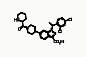 CCOC(=O)c1nn(C(C)c2ccc(Cl)cc2Cl)c2cc(C3=CCN(C(=O)C4CCCCN4)CC3)ccc12